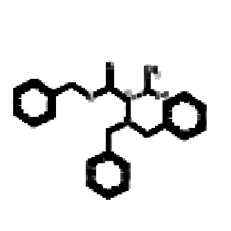 CC(C)[C@@H](C(=O)OCc1ccccc1)N(Cc1ccccc1)Cc1ccccc1